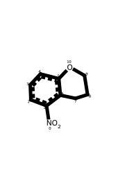 O=[N+]([O-])c1cccc2c1CCCO2